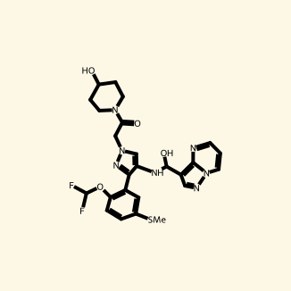 CSc1ccc(OC(F)F)c(-c2nn(CC(=O)N3CCC(O)CC3)cc2NC(O)c2cnn3cccnc23)c1